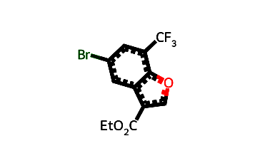 CCOC(=O)c1coc2c(C(F)(F)F)cc(Br)cc12